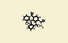 Cc1ccccc1C1c2ccccc2C(C)c2c(CBr)ccc(CBr)c21